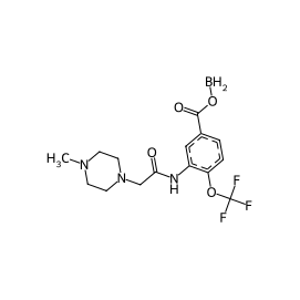 BOC(=O)c1ccc(OC(F)(F)F)c(NC(=O)CN2CCN(C)CC2)c1